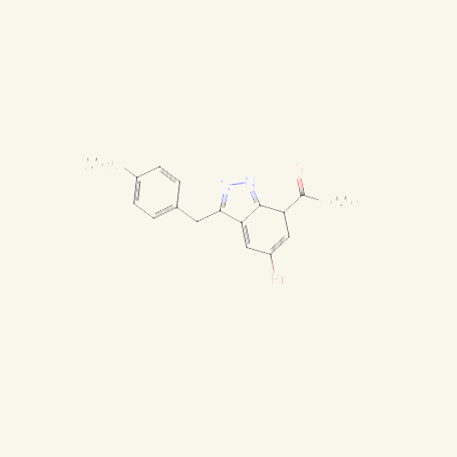 COC(=O)C1C=C(Br)C=C2C(Cc3ccc(OC)cc3)=NN=C21